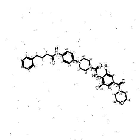 O=C(CCCc1ccccc1)Nc1ccc(N2CCN(C(=O)Nc3c(Cl)cc(C(=O)N4CCOCC4)cc3Cl)CC2)cc1